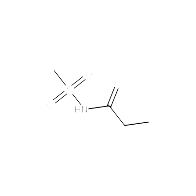 CCC(=O)NS(C)(=O)=O